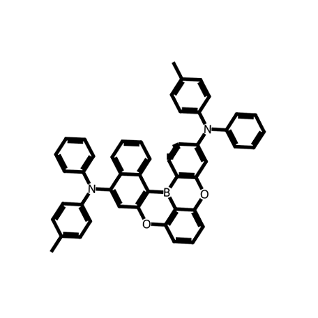 Cc1ccc(N(c2ccccc2)c2cc3c(c4ccccc24)B2c4c(cccc4Oc4cc(N(c5ccccc5)c5ccc(C)cc5)c5ccccc5c42)O3)cc1